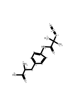 CC(C)(N=[N+]=[N-])C(=O)Nc1ccc(CC(N)C(=O)O)cc1